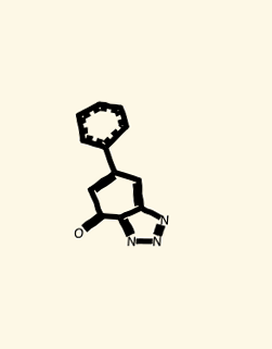 O=C1C=C(c2ccccc2)C=C2N=NN=C12